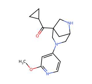 COc1cc(N2CC3CC(C(=O)C4CC4)(CN3)C2)ccn1